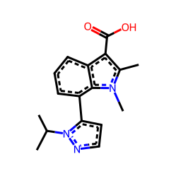 Cc1c(C(=O)O)c2cccc(-c3ccnn3C(C)C)c2n1C